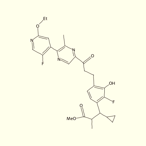 CCOc1cc(-c2ncc(C(=O)CCc3ccc(C(C4CC4)C(C)C(=O)OC)c(F)c3O)nc2C)c(F)cn1